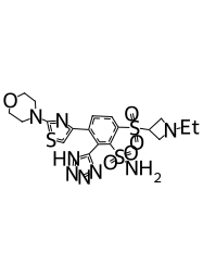 CCN1CC(S(=O)(=O)c2ccc(-c3csc(N4CCOCC4)n3)c(-c3nnn[nH]3)c2S(N)(=O)=O)C1